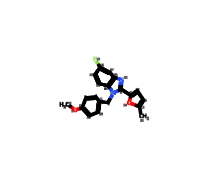 COc1ccc(Cn2c(-c3ccc(C)o3)nc3cc(F)ccc32)cc1